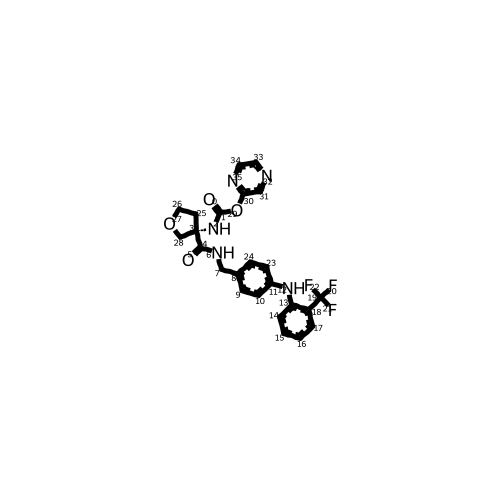 O=C(N[C@@]1(C(=O)NCc2ccc(Nc3ccccc3C(F)(F)F)cc2)CCOC1)Oc1cnccn1